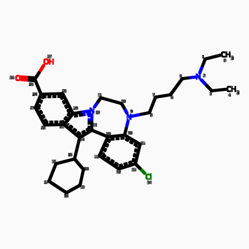 CCN(CC)CCCCN1CCn2c(c(C3CCCCC3)c3ccc(C(=O)O)cc32)-c2ccc(Cl)cc21